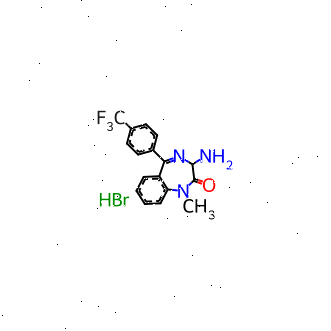 Br.CN1C(=O)C(N)N=C(c2ccc(C(F)(F)F)cc2)c2ccccc21